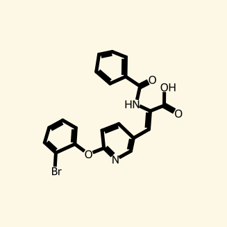 O=C(O)/C(=C/c1ccc(Oc2ccccc2Br)nc1)NC(=O)c1ccccc1